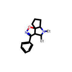 CCC1C2C(c3ccccc3)=NOC23CCCC3N1CC